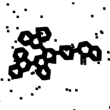 C1=CC(c2ccc(-c3cc(-c4cc5ccccc5c5ccccc45)c4cc(-c5cc6ccccc6c6ccccc56)c5ccccc5c4n3)cc2)Nc2ccccc21